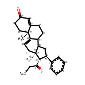 CC(=O)OCC(=O)[C@H]1[C@H](c2ccccc2)CC2C3CCC4=CC(=O)CC[C@]4(C)C3=CC[C@@]21C